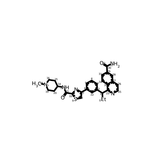 CCC(c1cccc(-c2csc(C(=O)NC3CCN(C)CC3)n2)c1)c1nccc2cc(C(N)=O)ccc12